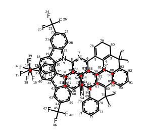 CC1(C)C2=C(C(c3nc(-n4c5ccc(C(F)(F)F)cc5c5cc(C(F)(F)F)ccc54)c(-n4c5ccc(C(F)(F)F)cc5c5cc(C(F)(F)F)ccc54)c(C#N)c3C3=CCCC4=C3N(c3ccccc3)c3ccccc3C4(C)C)=CCC2)N(c2ccccc2)c2ccccc21